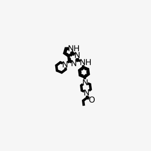 CCC(=O)N1CCN(c2ccc(Nc3nc(N4CCCCC4)c4cc[nH]c4n3)cc2)CC1